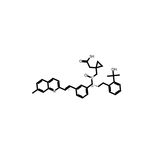 Cc1ccc2ccc(/C=C/c3cccc([C@@H](CCc4ccccc4C(C)(C)O)[S+]([O-])CC4(CC(=O)S)CC4)c3)nc2c1